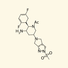 CC(=O)N1CC(N2Cc3cn(S(C)(=O)=O)nc3C2)CC(N)[C@H]1C1CC(F)=CC=C1F